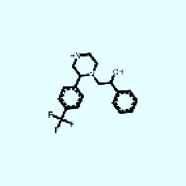 OC(CN1CCNCC1c1ccc(C(F)(F)F)cc1)c1ccccc1